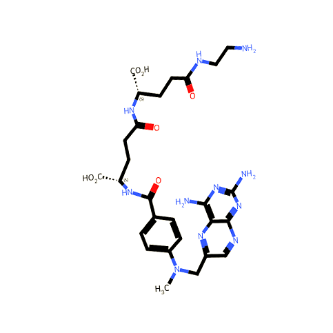 CN(Cc1cnc2nc(N)nc(N)c2n1)c1ccc(C(=O)N[C@@H](CCC(=O)N[C@@H](CCC(=O)NCCN)C(=O)O)C(=O)O)cc1